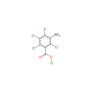 O=C(OCl)c1c(Cl)c(Cl)c(Cl)c([N+](=O)[O-])c1Cl